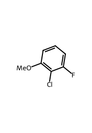 [CH2]Oc1cccc(F)c1Cl